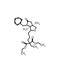 CCOC(=O)C(CC)(CCCC1SC[C@]2(C)CC(=O)N(Cc3ccccc3)[C@]12C)C(=O)OCC